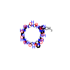 Cc1ccc(CC2NC(=O)CNC(=O)CNC(=O)CNC(=O)C3CCN3C(=O)CNC(=O)CNC(=O)CNC(=O)CC(C(=O)N3CCCCC3)NC(=O)CNC(=O)C3(CCCC3)NC2=O)cn1